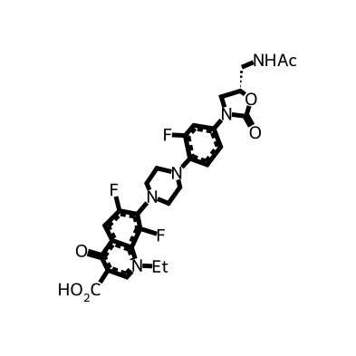 CCn1cc(C(=O)O)c(=O)c2cc(F)c(N3CCN(c4ccc(N5C[C@H](CNC(C)=O)OC5=O)cc4F)CC3)c(F)c21